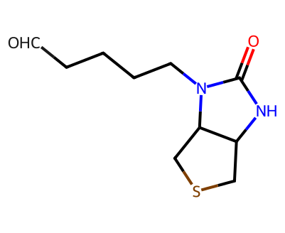 O=CCCCCN1C(=O)NC2CSCC21